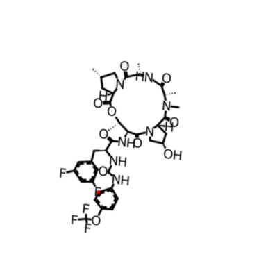 C[C@H]1C[C@H]2C(=O)O[C@@H](C)[C@H](NC(=O)[C@H](Cc3cc(F)cc(F)c3)NC(=O)Nc3ccc(OC(F)(F)F)cc3)C(=O)N3C[C@H](O)C[C@H]3C(=O)N(C)[C@@H](C)C(=O)N[C@@H](C)C(=O)N2C1